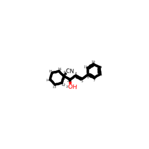 N#CC1(C(O)/C=C/c2ccccc2)CCCCC1